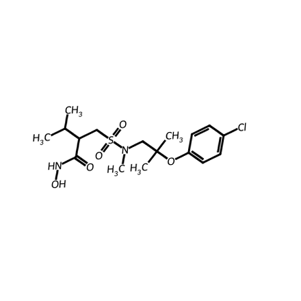 CC(C)C(CS(=O)(=O)N(C)CC(C)(C)Oc1ccc(Cl)cc1)C(=O)NO